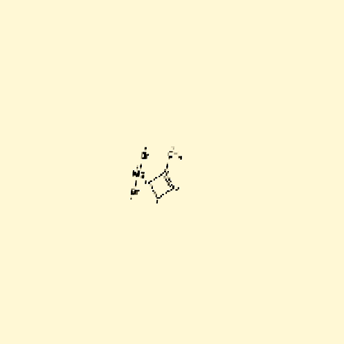 CC1=C[CH]C1.[Br][Mg][Br]